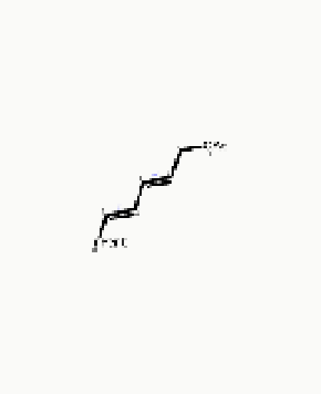 CCCCC/C=C/C=C/COC(C)=O